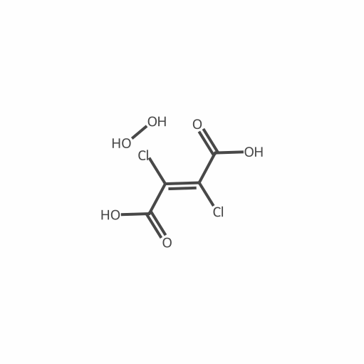 O=C(O)C(Cl)=C(Cl)C(=O)O.OO